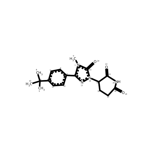 Cn1c(-c2ccc(C(C)(C)C)cc2)nn(C2CCC(=O)NC2=O)c1=O